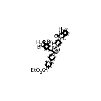 CCOC(=O)CN1CCN(C2CCN(C(=O)C(Cc3cc(Br)c(C)c(Br)c3)NC(=O)N3CCC(N4Cc5ccccc5NC4=O)CC3)CC2)CC1